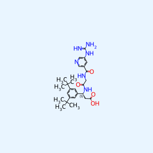 CC(C)(C)c1cc([C@H](CC(=O)O)NC(=O)CNC(=O)c2cncc(NC(=N)N)c2)cc(C(C)(C)C)c1